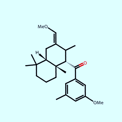 COC=C1C[C@H]2C(C)(C)CCC[C@@]2(C)[C@@H](C(=O)c2cc(C)cc(OC)c2)C1C